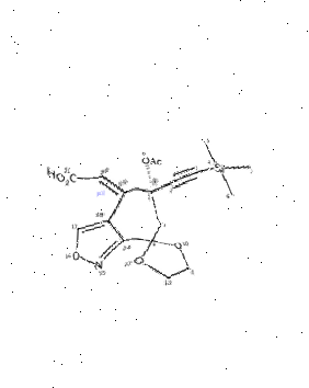 CC(=O)O[C@]1(C#C[Si](C)(C)C)CC2(OCCO2)c2nocc2/C1=C\C(=O)O